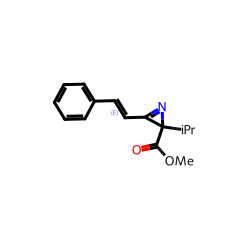 COC(=O)C1(C(C)C)N=C1/C=C/c1ccccc1